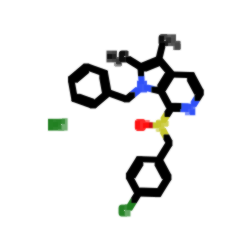 Cc1c(C)n(Cc2ccccc2)c2c([S+]([O-])Cc3ccc(Cl)cc3)nccc12.Cl